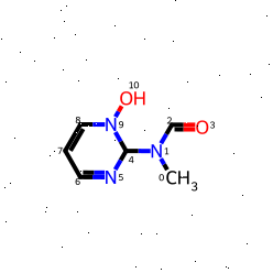 CN(C=O)C1N=CC=CN1O